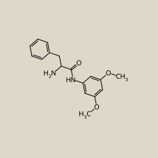 COc1cc(NC(=O)C(N)Cc2ccccc2)cc(OC)c1